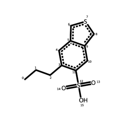 CCCc1cc2[c]s[c]c2cc1S(=O)(=O)O